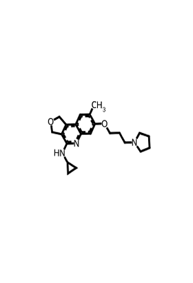 Cc1cc2c3c(c(NC4CC4)nc2cc1OCCCN1CCCC1)COC3